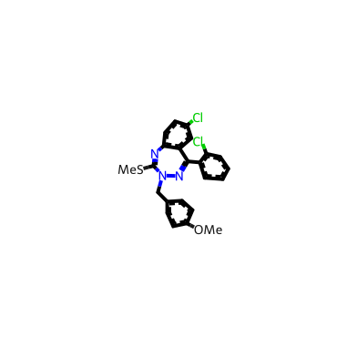 COc1ccc(CN2N=C(c3ccccc3Cl)c3cc(Cl)ccc3N=C2SC)cc1